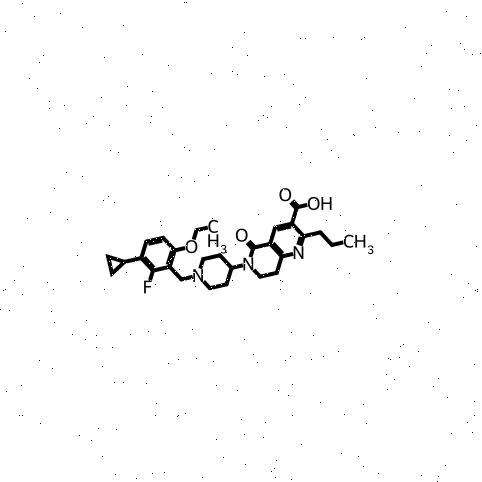 CCCc1nc2c(cc1C(=O)O)C(=O)N(C1CCN(Cc3c(OCC)ccc(C4CC4)c3F)CC1)CC2